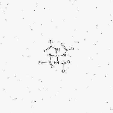 CCC(=O)[NH][V]([NH]C(=O)CC)([NH]C(=O)CC)[NH]C(=O)CC